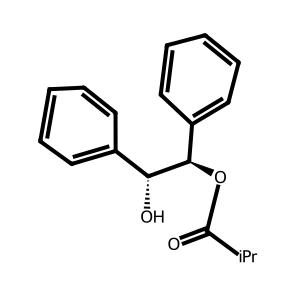 CC(C)C(=O)O[C@H](c1ccccc1)[C@H](O)c1ccccc1